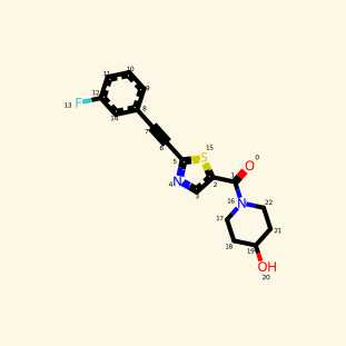 O=C(c1cnc(C#Cc2cccc(F)c2)s1)N1CCC(O)CC1